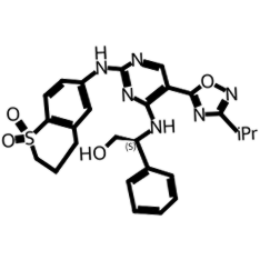 CC(C)c1noc(-c2cnc(Nc3ccc4c(c3)CCCS4(=O)=O)nc2N[C@H](CO)c2ccccc2)n1